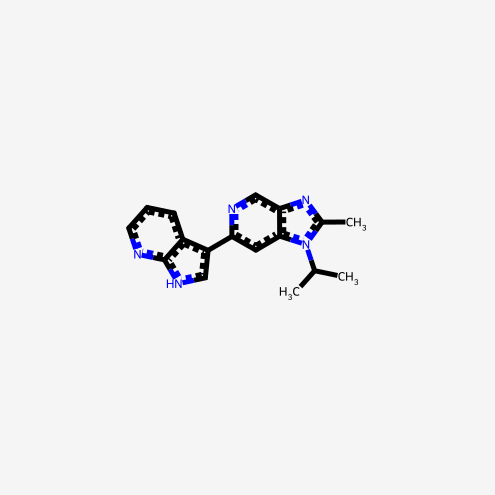 Cc1nc2cnc(-c3c[nH]c4ncccc34)cc2n1C(C)C